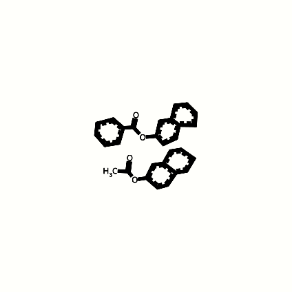 CC(=O)Oc1ccc2ccccc2c1.O=C(Oc1ccc2ccccc2c1)c1ccccc1